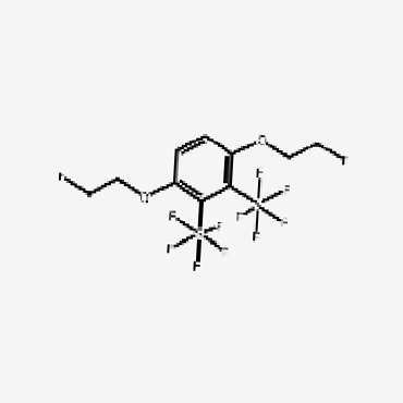 FCCOc1ccc(OCCF)c(S(F)(F)(F)(F)F)c1S(F)(F)(F)(F)F